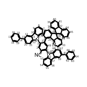 N#Cc1cc(-n2c3ccccc3c3cc(-c4ccccc4)ccc32)c(-c2cccc3c2-c2ncccc2C32c3ccccc3-c3ccccc32)cc1-n1c2ccccc2c2cc(-c3ccccc3)ccc21